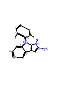 Cc1cccc(C)c1-n1c2ccccc2c2cc(N)n(C)c21